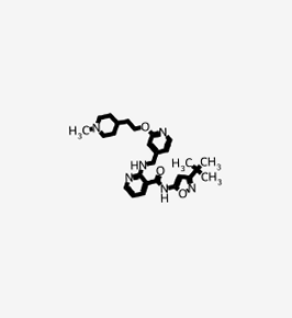 CN1CCC(CCOc2cc(CNc3ncccc3C(=O)Nc3cc(C(C)(C)C)no3)ccn2)CC1